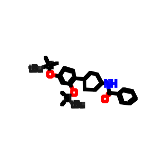 CC(C)(C)[Si](C)(C)Oc1ccc(C2CCC(NC(=O)c3ccccc3)CC2)c(O[Si](C)(C)C(C)(C)C)c1